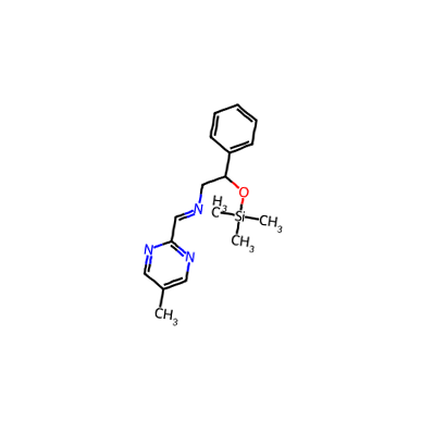 Cc1cnc(C=NCC(O[Si](C)(C)C)c2ccccc2)nc1